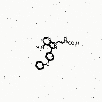 Nc1ncnc2c1c(-c1ccc(Oc3ccccc3)cc1)nn2CCNC(=O)O